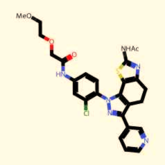 COCCOCC(=O)Nc1ccc(-n2nc(-c3cccnc3)c3c2-c2sc(NC(C)=O)nc2CC3)c(Cl)c1